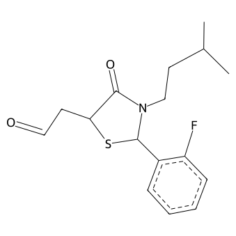 CC(C)CCN1C(=O)C(CC=O)SC1c1ccccc1F